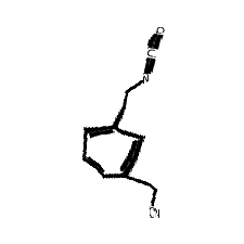 N#CCc1cccc(CN=C=O)c1